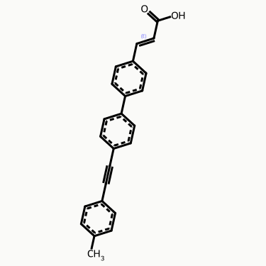 Cc1ccc(C#Cc2ccc(-c3ccc(/C=C/C(=O)O)cc3)cc2)cc1